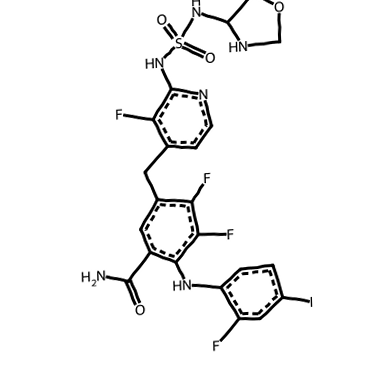 NC(=O)c1cc(Cc2ccnc(NS(=O)(=O)NC3COCN3)c2F)c(F)c(F)c1Nc1ccc(I)cc1F